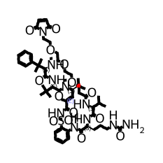 CN[C@H](C(=O)N[C@H](C(=O)N(C)[C@H](/C=C(\C)C(=O)NS(=O)(=O)c1ccccc1NC(=O)[C@H](CCCNC(N)=O)NC(=O)[C@@H](NC(=O)CCOCCOCCOCCN1C(=O)C=CC1=O)C(C)C)C(C)C)C(C)(C)C)C(C)(C)c1ccccc1